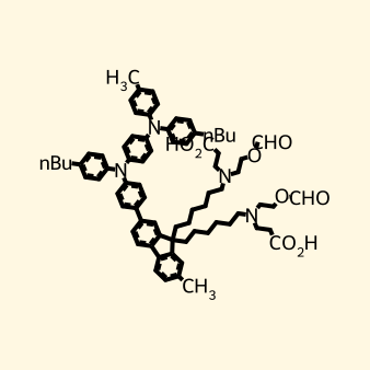 CCCCc1ccc(N(c2ccc(C)cc2)c2ccc(N(c3ccc(CCCC)cc3)c3ccc(-c4ccc5c(c4)C(CCCCCCN(CCOC=O)CCC(=O)O)(CCCCCCN(CCOC=O)CCC(=O)O)c4cc(C)ccc4-5)cc3)cc2)cc1